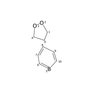 C1COOC1.b1ccccc1